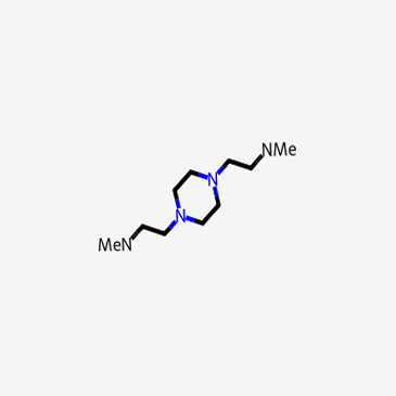 CNCCN1CCN(CCNC)CC1